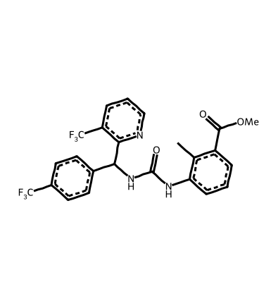 COC(=O)c1cccc(NC(=O)NC(c2ccc(C(F)(F)F)cc2)c2ncccc2C(F)(F)F)c1C